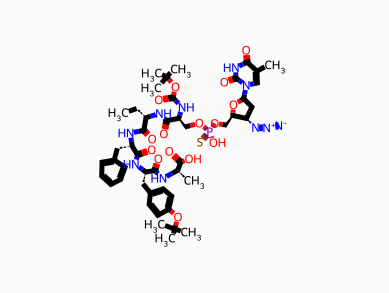 CC[C@H](NC(=O)[C@H](COP(O)(=S)OC[C@H]1OC(n2cc(C)c(=O)[nH]c2=O)C[C@@H]1N=[N+]=[N-])NC(=O)OC(C)(C)C)C(=O)N[C@@H](Cc1ccccc1)C(=O)N[C@@H](Cc1ccc(OC(C)(C)C)cc1)C(=O)N[C@@H](C)C(=O)O